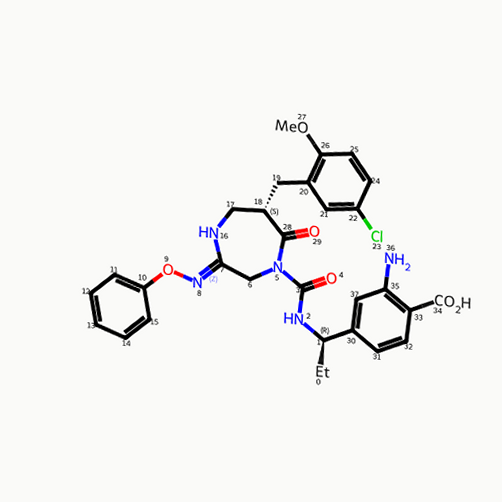 CC[C@@H](NC(=O)N1C/C(=N/Oc2ccccc2)NC[C@H](Cc2cc(Cl)ccc2OC)C1=O)c1ccc(C(=O)O)c(N)c1